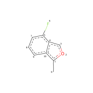 Cc1occ2c(F)cccc12